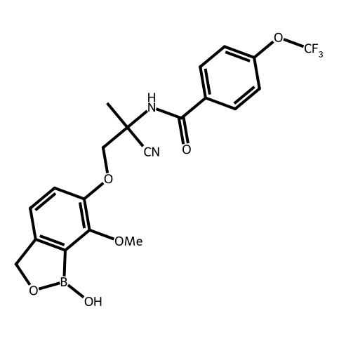 COc1c(OCC(C)(C#N)NC(=O)c2ccc(OC(F)(F)F)cc2)ccc2c1B(O)OC2